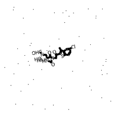 CCCC[C@@]1(CN(O)C=O)NC(=O)N(CC(=O)c2sc3ccc(Cl)cc3c2C)C1=O